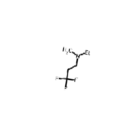 CCN(C)CCC(F)(F)F